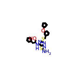 Nc1nc2nc(SCc3cccc(Oc4ccccc4)c3)nc(NC(CO)Cc3ccccc3)c2s1